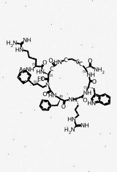 CC[C@@H](Cc1ccccc1)CN1C(=O)N[C@H](Cc2ccccc2)C(=O)N[C@@H](CCCNC(=N)N)C(=O)N[C@@H](Cc2c[nH]c3ccccc23)C(=O)N[C@H](C(N)=O)CCCCNC(=O)C[C@H](NC(=O)[C@H](CCCNC(=N)N)NC(C)=O)C1=O